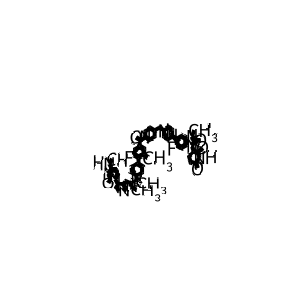 CNc1ccn(-c2ccnc3c2cc([C@H](C)N2CC=C(c4c(C)cc(C(=O)N5CCC(CN6CCN(c7cc8c(cc7F)n(C7CCC(=O)NC7=O)c(=O)n8C)CC6)CC5)cc4F)CC2)n3C)c(=O)n1